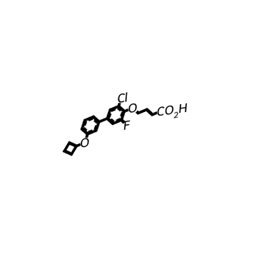 O=C(O)CCCOc1c(F)cc(-c2cccc(OC3CCC3)c2)cc1Cl